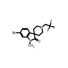 CN1C(=O)C2(CCN(CC(F)(F)F)CC2)c2ccc(Br)cc21